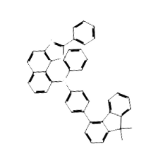 CC1(C)c2ccccc2-c2c(-c3ccc(N(c4ccccc4)c4cccc5ccc6nc(-c7ccccc7)oc6c45)cc3)cccc21